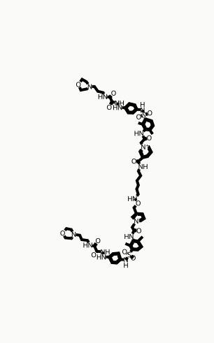 Cc1ccc(S(=O)(=O)Nc2ccc(NNC(=O)C(=O)NCCCN3CCOCC3)cc2)c(C)c1NC(=O)C[n+]1cccc(CONCCCCCCNC(=O)c2ccc[n+](CC(=O)Nc3c(C)ccc(S(=O)(=O)Nc4ccc(NNC(=O)C(=O)NCCCN5CCOCC5)cc4)c3C)c2)c1